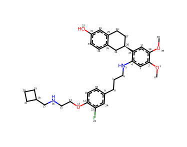 COc1cc(NCCCc2ccc(OCCNCC3CCC3)c(F)c2)c([C@@H]2CCc3cc(O)ccc3C2)cc1OC